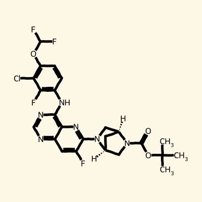 CC(C)(C)OC(=O)N1C[C@@H]2C[C@H]1CN2c1nc2c(Nc3ccc(OC(F)F)c(Cl)c3F)ncnc2cc1F